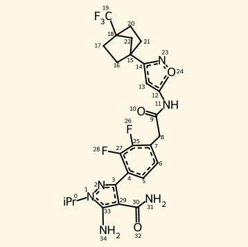 CC(C)n1nc(-c2ccc(CC(=O)Nc3cc(C45CCC(C(F)(F)F)(CC4)C5)no3)c(F)c2F)c(C(N)=O)c1N